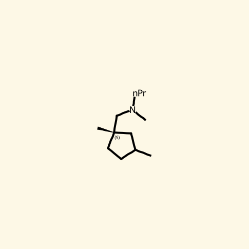 CCCN(C)C[C@@]1(C)CCC(C)C1